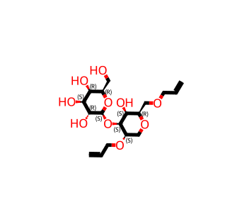 C=CCOC[C@H]1OC[C@H](OCC=C)[C@@H](O[C@@H]2O[C@H](CO)[C@H](O)[C@H](O)[C@H]2O)[C@H]1O